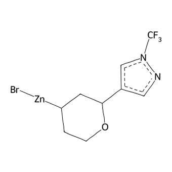 FC(F)(F)n1cc(C2C[CH]([Zn][Br])CCO2)cn1